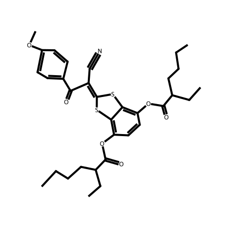 CCCCC(CC)C(=O)Oc1ccc(OC(=O)C(CC)CCCC)c2c1SC(=C(C#N)C(=O)c1ccc(OC)cc1)S2